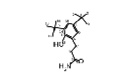 CC(C)(C)c1cc(CCC(N)=O)c(O)c(C(C)(C)C)c1